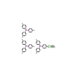 Cc1ccc(P(c2ccc(C)cc2)c2ccc(C)cc2)cc1.Cc1ccc(P(c2ccc(C)cc2)c2ccc(C)cc2)cc1.Cc1ccc(P(c2ccc(C)cc2)c2ccc(C)cc2)cc1.[Cl][Rh]